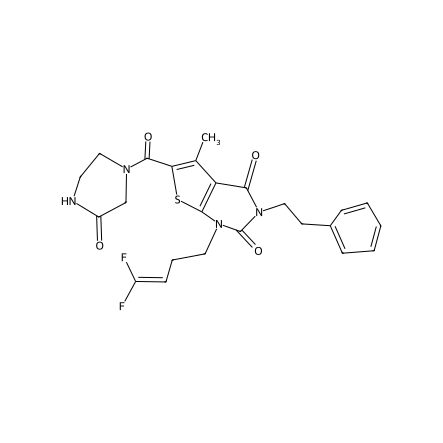 Cc1c(C(=O)N2CCNC(=O)C2)sc2c1c(=O)n(CCc1ccccc1)c(=O)n2CCC=C(F)F